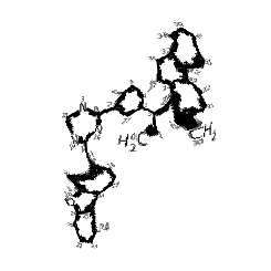 C=C/C(c1cccc(-c2ncnc(-c3ccc4c(c3)oc3ccccc34)n2)c1)=c1\c(=C)ccc2c1ccc1ccccc12